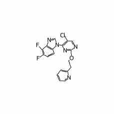 Fc1ccc2c(ncn2-c2nc(OCCc3ccccn3)ncc2Cl)c1F